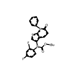 CC(C)(C)OC(=O)N(c1ccc(F)cc1F)c1csc2c1ccc(=O)n2-c1ccccc1